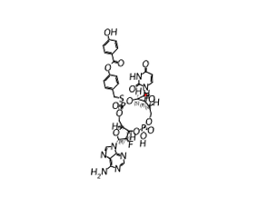 Nc1ncnc2c1ncn2[C@@H]1O[C@@H]2CO[P@](=O)(SCc3ccc(OC(=O)c4ccc(O)cc4)cc3)O[C@@H]3[C@H](F)[C@@H](COP(=O)(O)O[C@H]2[C@H]1F)O[C@H]3n1ccc(=O)[nH]c1=O